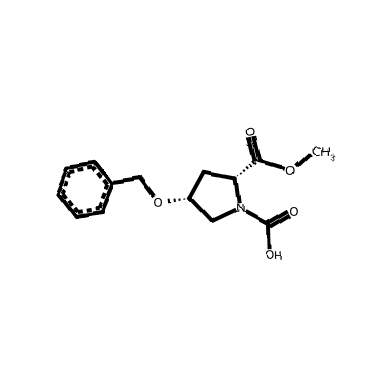 COC(=O)[C@H]1C[C@@H](OCc2ccccc2)CN1C(=O)O